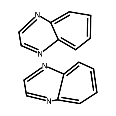 c1ccc2nccnc2c1.c1ccc2nccnc2c1